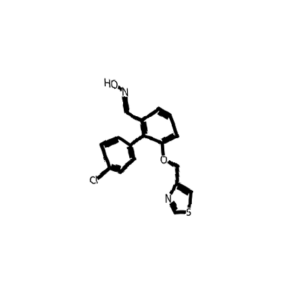 ON=Cc1cccc(OCc2cscn2)c1-c1ccc(Cl)cc1